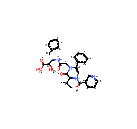 CC(C)C1C(=O)N(CC(=O)N[C@@H](Cc2ccccc2)C(O)C(=O)O)C(c2ccccc2)=CN1C(=O)c1cccnc1